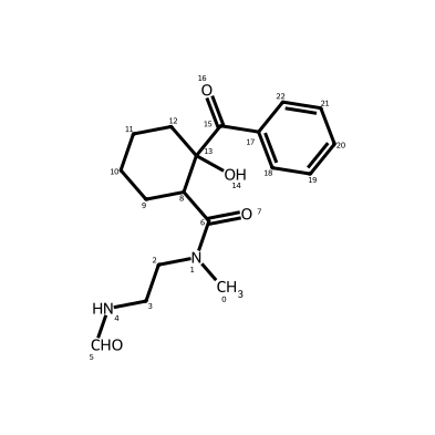 CN(CCNC=O)C(=O)C1CCCCC1(O)C(=O)c1ccccc1